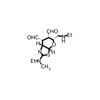 CCNC[C@@H]1O[C@@H]2SC(N(C)CC)=N[C@@H]2[C@H](C=O)[C@@H]1C=O